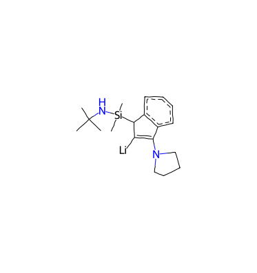 [Li][C]1=C(N2CCCC2)c2ccccc2C1[Si](C)(C)NC(C)(C)C